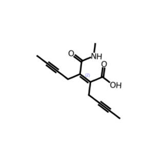 CC#CC/C(C(=O)O)=C(\CC#CC)C(=O)NC